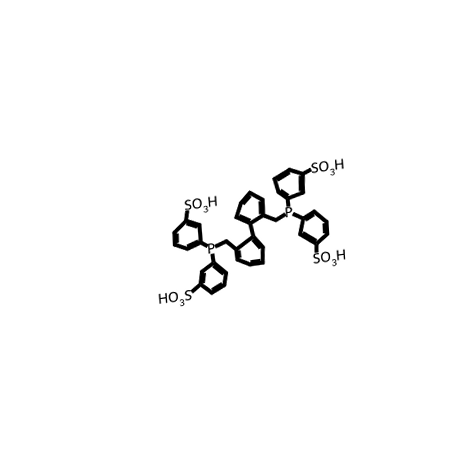 O=S(=O)(O)c1cccc(P(Cc2ccccc2-c2ccccc2CP(c2cccc(S(=O)(=O)O)c2)c2cccc(S(=O)(=O)O)c2)c2cccc(S(=O)(=O)O)c2)c1